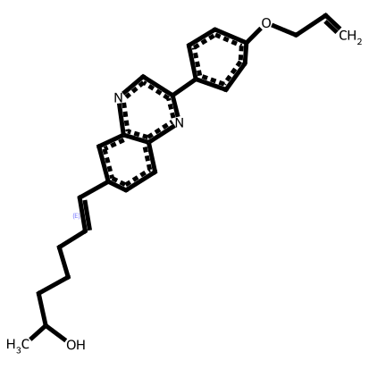 C=CCOc1ccc(-c2cnc3cc(/C=C/CCCC(C)O)ccc3n2)cc1